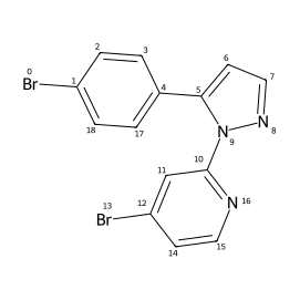 Brc1ccc(-c2ccnn2-c2cc(Br)ccn2)cc1